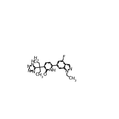 CCn1ncc2c(F)cc(-c3ccc(C(CC)(CC)c4nnn[nH]4)c(=O)[nH]3)cc21